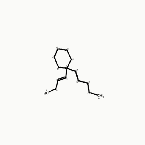 CCCCCC1(C=CCO)CCCCC1